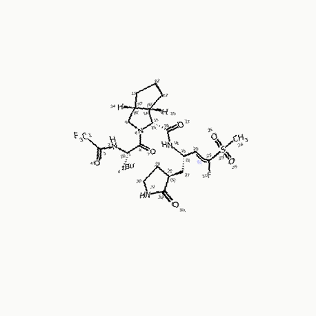 CC(C)(C)[C@H](NC(=O)C(F)(F)F)C(=O)N1C[C@@H]2CCC[C@@H]2[C@@H]1C(=O)N[C@H](/C=C(\F)S(C)(=O)=O)C[C@@H]1CCNC1=O